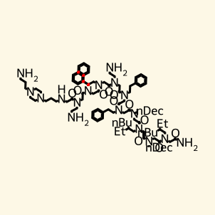 CCCCCCCCCCN(CC(=O)N(CC(=O)N(CCCCCCCCCC)CC(=O)N(CC(N)=O)CC(CC)CCCC)CC(CC)CCCC)C(=O)CN(CCc1ccccc1)C(=O)CN(CCc1ccccc1)C(=O)CN(CCN)C(=O)CN(CCc1ccccc1)C(=O)CN(CCc1ccccc1)C(=O)CN(CCN)C(=O)CNCCCN1CCN(CCCN)CC1